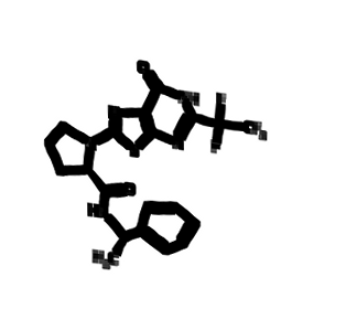 C[C@@H](NC(=O)[C@H]1CCCN1c1nc2c(=O)[nH]c(C(F)(F)C(F)(F)F)nc2s1)c1ccccc1